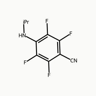 CC(C)Nc1c(F)c(F)c(C#N)c(F)c1F